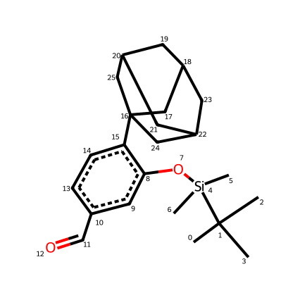 CC(C)(C)[Si](C)(C)Oc1cc(C=O)ccc1C12CC3CC(CC(C3)C1)C2